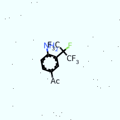 CC(=O)c1ccc(N)c(C(F)(C(F)(F)F)C(F)(F)F)c1